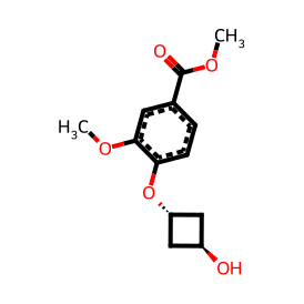 COC(=O)c1ccc(O[C@H]2C[C@H](O)C2)c(OC)c1